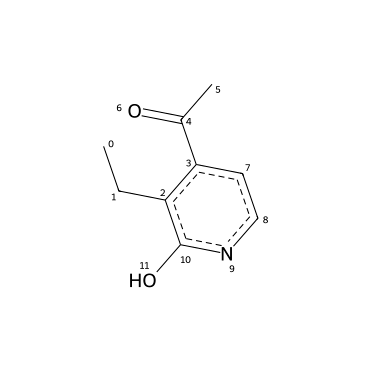 CCc1c(C(C)=O)ccnc1O